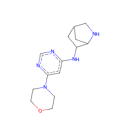 c1nc(NC2CC3CNC2C3)cc(N2CCOCC2)n1